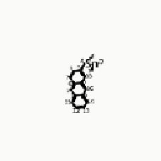 [CH3][Sn]([CH3])([CH3])[CH2]c1ccc2cc3ccccc3cc2c1